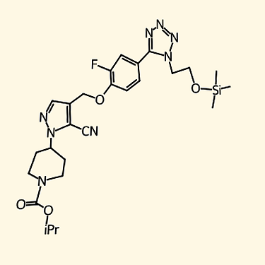 CC(C)OC(=O)N1CCC(n2ncc(COc3ccc(-c4nnnn4CCO[Si](C)(C)C)cc3F)c2C#N)CC1